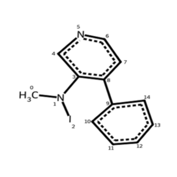 CN(I)c1cnccc1-c1ccccc1